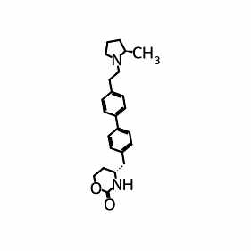 C[C@@H]1CCCN1CCc1ccc(-c2ccc(C[C@H]3CCOC(=O)N3)cc2)cc1